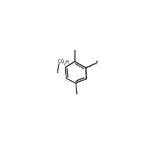 CC(=O)O.Cc1ccc(C)c(F)c1